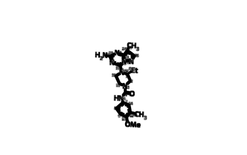 CC[C@H]1CN(C(=O)Nc2ccc(OC)c(C)c2)CCN1c1nc(N)nc2c(C)cnn12